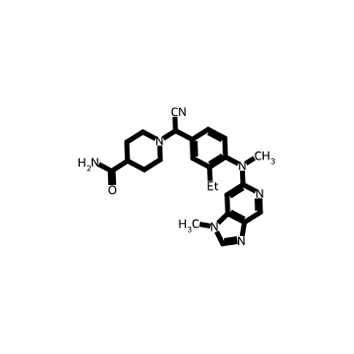 CCc1cc(C(C#N)N2CCC(C(N)=O)CC2)ccc1N(C)c1cc2c(cn1)ncn2C